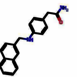 NC(=O)Cc1ccc(NCc2ccc3ccccc3c2)cc1